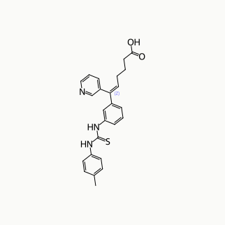 Cc1ccc(NC(=S)Nc2cccc(/C(=C/CCCC(=O)O)c3cccnc3)c2)cc1